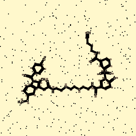 C#CCCCNC(=O)c1cccc(S(=O)(=O)n2cc(C(=O)NCCOCCOCCNC(=O)Cc3c(C)n(C(=O)c4ccc(Cl)cc4)c4ccc(OC)cc34)ccc2=O)c1